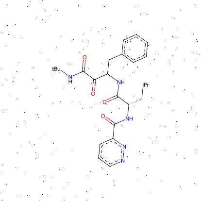 CC(C)C[C@H](NC(=O)c1cccnn1)C(=O)NC(Cc1ccccc1)C(=O)C(=O)NC(C)(C)C